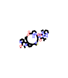 CCn1c(-c2cccnc2[C@H](C)OC)c2c3cc(ccc31)-c1csc(n1)C[C@H](NC(=O)C(C(C)C)N(C)C(=O)N1CC[C@@]13CCCNC3)C(=O)N1CCC[C@H](N1)C(=O)OCC(C)(C)C2